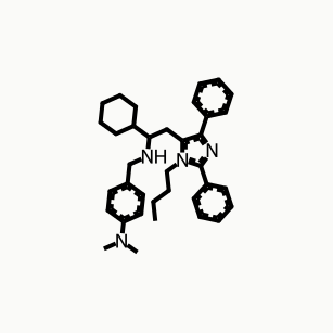 CCCCn1c(-c2ccccc2)nc(-c2ccccc2)c1CC(NCc1ccc(N(C)C)cc1)C1CCCCC1